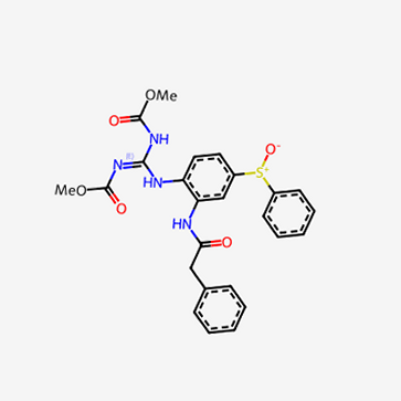 COC(=O)/N=C(/NC(=O)OC)Nc1ccc([S+]([O-])c2ccccc2)cc1NC(=O)Cc1ccccc1